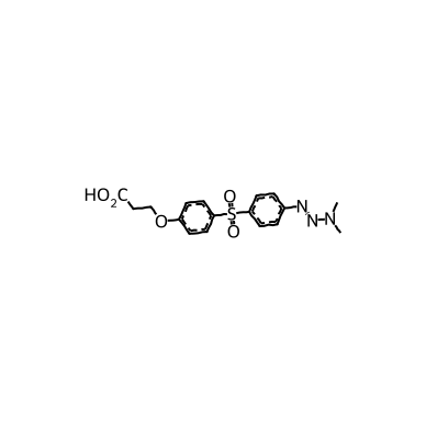 CN(C)N=Nc1ccc(S(=O)(=O)c2ccc(OCCC(=O)O)cc2)cc1